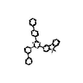 C[Si]1(C)c2ccccc2-c2cc(-c3nc(-c4ccc(-c5ccccc5)cc4)nc(-c4cccc(-c5ccccc5)c4)n3)ccc21